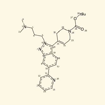 CN(C)CCCn1nc2cc(-c3ccccn3)ccc2c1C1=CCN(C(=O)OC(C)(C)C)CC1